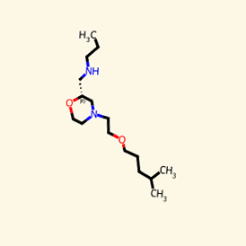 CCCNC[C@@H]1CN(CCOCCCC(C)C)CCO1